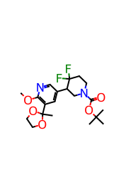 COc1ncc(C2CN(C(=O)OC(C)(C)C)CCC2(F)F)cc1C1(C)OCCO1